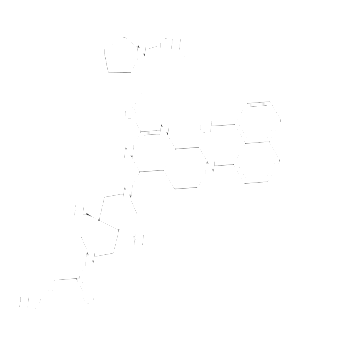 C=CC(=O)N1C[C@@H]2CN(c3nc(OC[C@@H]4CCCN4C)nc4c3CCN(c3cccc5cccc(Cl)c35)C4)C[C@H]2C1